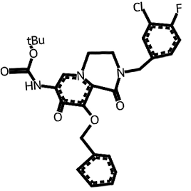 CC(C)(C)OC(=O)Nc1cn2c(c(OCc3ccccc3)c1=O)C(=O)N(Cc1ccc(F)c(Cl)c1)CC2